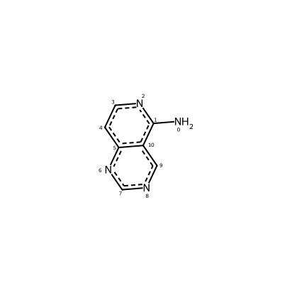 Nc1nccc2ncncc12